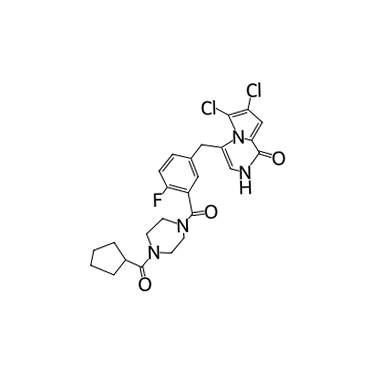 O=C(c1cc(Cc2c[nH]c(=O)c3cc(Cl)c(Cl)n23)ccc1F)N1CCN(C(=O)C2CCCC2)CC1